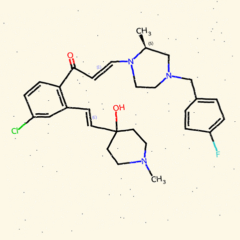 C[C@H]1CN(Cc2ccc(F)cc2)CCN1/C=C/C(=O)c1ccc(Cl)cc1/C=C/C1(O)CCN(C)CC1